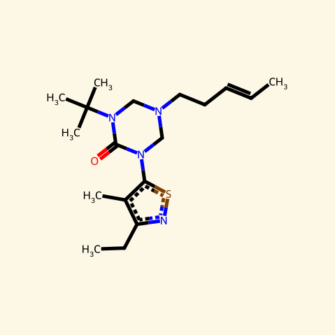 C/C=C/CCN1CN(c2snc(CC)c2C)C(=O)N(C(C)(C)C)C1